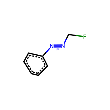 FC/N=N/c1ccccc1